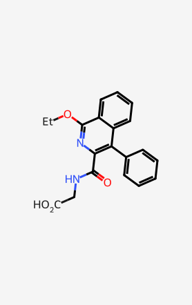 CCOc1nc(C(=O)NCC(=O)O)c(-c2ccccc2)c2ccccc12